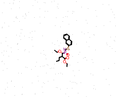 CCCC(C(=O)OCC)C(OCC)[PH](=O)CSc1ccc2ccccc2c1